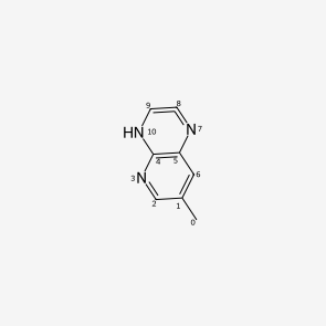 Cc1cnc2c(c1)N=C=CN2